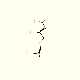 CC(C)=CCC/C(C)=C/C(O)C=O